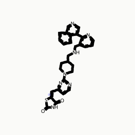 O=C1NC(=O)/C(=C\c2ccnc(N3CCC(CNCc4cccnc4-c4cncc5ccccc45)CC3)n2)S1